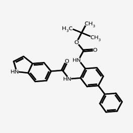 CC(C)(C)OC(=O)Nc1ccc(-c2ccccc2)cc1NC(=O)c1ccc2[nH]ccc2c1